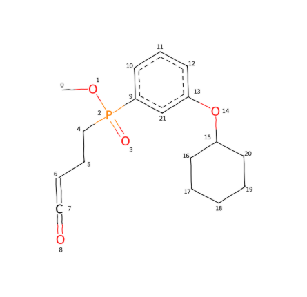 COP(=O)(CCC=C=O)c1cccc(OC2CCCCC2)c1